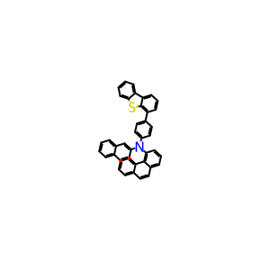 c1ccc2cc(N(c3ccc(-c4cccc5c4sc4ccccc45)cc3)c3cccc4ccc5ccccc5c34)ccc2c1